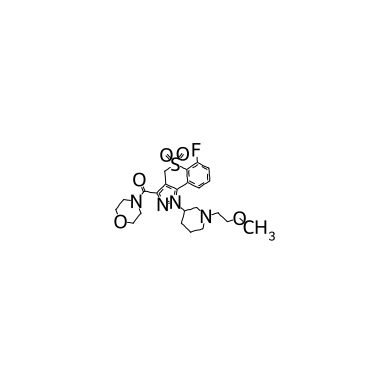 COCCN1CCCC(n2nc(C(=O)N3CCOCC3)c3c2-c2cccc(F)c2S(=O)(=O)C3)C1